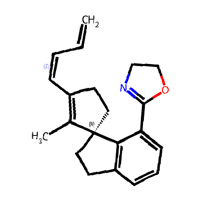 C=C/C=C\C1=C(C)[C@]2(CC1)CCc1cccc(C3=NCCO3)c12